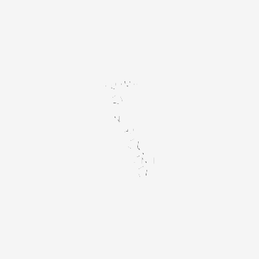 COC(=O)c1ccc(OCN2C[C@@H](C(=O)Cc3ccc(NC(=O)Nc4ccccc4C)c(C)c3)C[C@@H]2F)cc1